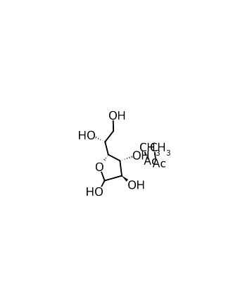 CC(C)=O.CC(C)=O.OC[C@@H](O)[C@H]1OC(O)[C@H](O)[C@H]1O